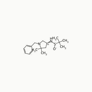 CC1(C)C[C@H](N[S+]([O-])C(C)(C)C)CN1Cc1ccccc1